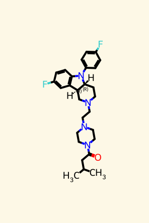 CC(C)CC(=O)N1CCN(CCN2CC[C@@H]3[C@@H](C2)c2cc(F)ccc2N3c2ccc(F)cc2)CC1